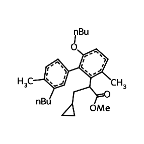 CCCCOc1ccc(C)c(C(CC2CC2)C(=O)OC)c1-c1ccc(C)c(CCCC)c1